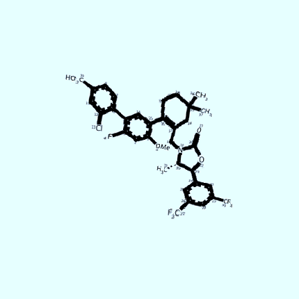 COc1cc(F)c(-c2ccc(C(=O)O)cc2Cl)cc1C1=C(CN2C(=O)OC(c3cc(C(F)(F)F)cc(C(F)(F)F)c3)[C@@H]2C)CC(C)(C)CC1